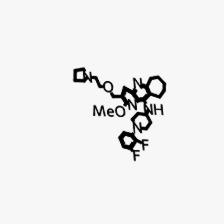 COc1nc2c(NC3CCN(c4cccc(F)c4F)CC3)c3c(nc2cc1COCCN1CCCC1)CCCCC3